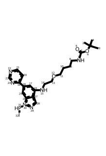 CC(C)(C)OC(=O)NCCCCOCCNc1cc(-c2ccncn2)cc2c1cnn2PI